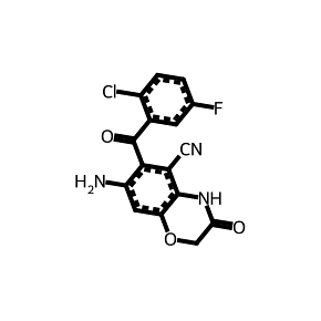 N#Cc1c2c(cc(N)c1C(=O)c1cc(F)ccc1Cl)OCC(=O)N2